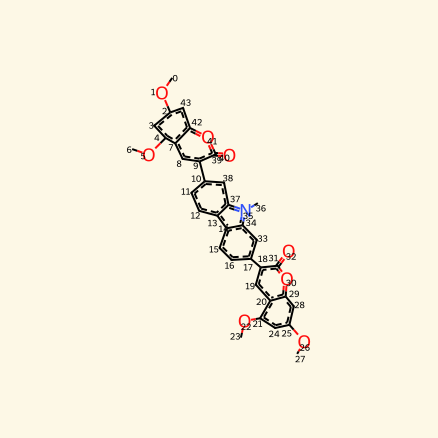 COc1cc(OC)c2cc(-c3ccc4c5ccc(-c6cc7c(OC)cc(OC)cc7oc6=O)cc5n(C)c4c3)c(=O)oc2c1